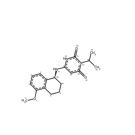 COc1cccc2c1CCC[C@@H]2Nc1cc(=O)n(C(C)C)c(=O)[nH]1